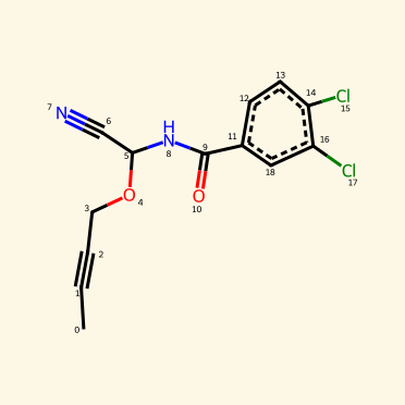 CC#CCOC(C#N)NC(=O)c1ccc(Cl)c(Cl)c1